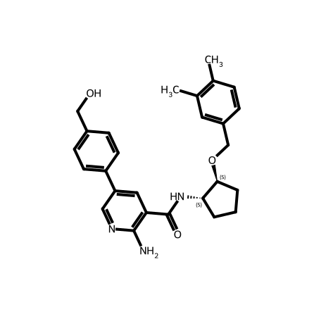 Cc1ccc(CO[C@H]2CCC[C@@H]2NC(=O)c2cc(-c3ccc(CO)cc3)cnc2N)cc1C